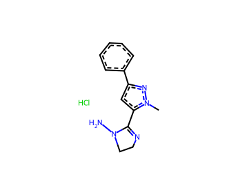 Cl.Cn1nc(-c2ccccc2)cc1C1=NCCN1N